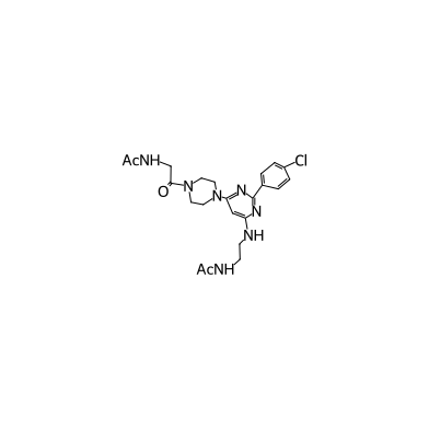 CC(=O)NCCNc1cc(N2CCN(C(=O)CNC(C)=O)CC2)nc(-c2ccc(Cl)cc2)n1